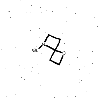 CC(C)(C)N1CCC12CCO2